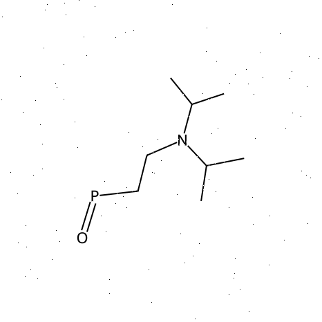 CC(C)N(CCP=O)C(C)C